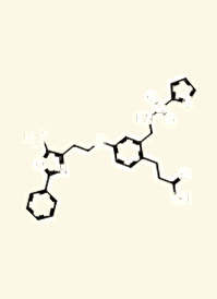 Cc1oc(-c2ccccc2)nc1CCOc1ccc(CCC(=O)O)c(CNS(=O)(=O)c2cccs2)c1